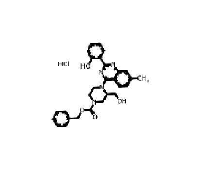 Cc1ccc2c(N3CCN(C(=O)OCc4ccccc4)CC3CO)nc(-c3ccccc3O)nc2c1.Cl